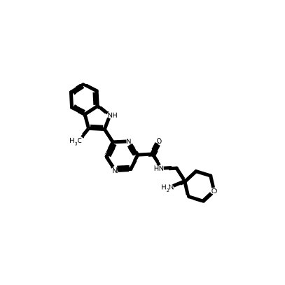 Cc1c(-c2cncc(C(=O)NCC3(N)CCOCC3)n2)[nH]c2ccccc12